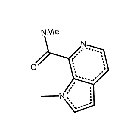 CNC(=O)c1nccc2ccn(C)c12